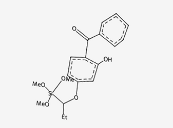 CCC(Oc1ccc(C(=O)c2ccccc2)c(O)c1)[Si](OC)(OC)OC